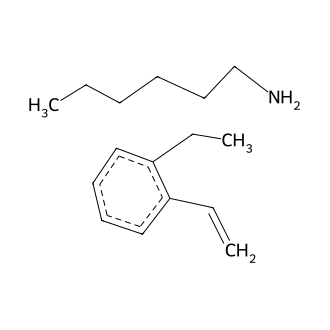 C=Cc1ccccc1CC.CCCCCCN